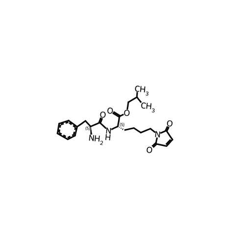 CC(C)COC(=O)[C@H](CCCCN1C(=O)C=CC1=O)NC(=O)[C@@H](N)Cc1ccccc1